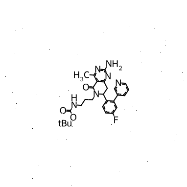 Cc1nc(N)nc2c1C(=O)N(CCCNC(=O)OC(C)(C)C)C(c1ccc(F)cc1-c1cccnc1)C2